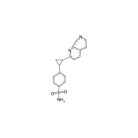 NS(=O)(=O)c1ccc(C2CC2c2ccc3ccncc3n2)cc1